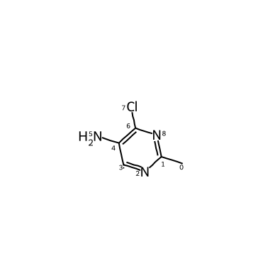 Cc1n[c]c(N)c(Cl)n1